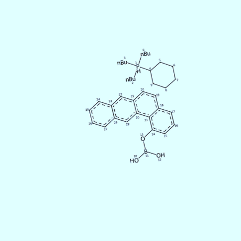 CCCC[PH](CCCC)(CCCC)C1CCCCC1.OB(O)Oc1cccc2ccc3cc4ccccc4cc3c12